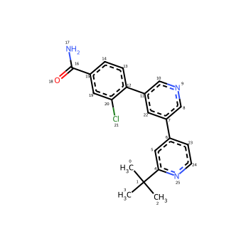 CC(C)(C)c1cc(-c2cncc(-c3ccc(C(N)=O)cc3Cl)c2)ccn1